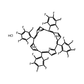 Cl.Fc1c(F)c(F)c(-c2c3nc(c(-c4c(F)c(F)c(F)c(F)c4F)c4ccc([nH]4)c(-c4c(F)c(F)c(F)c(F)c4F)c4nc(c(-c5c(F)c(F)c(F)c(F)c5F)c5ccc2[nH]5)C=C4)C=C3)c(F)c1F